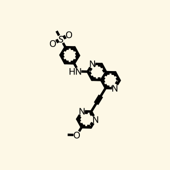 COc1cnc(C#Cc2nccc3cnc(Nc4ccc(S(C)(=O)=O)cc4)cc23)nc1